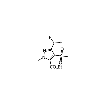 CCOC(=O)c1c(S(C)(=O)=O)c(C(F)F)nn1C